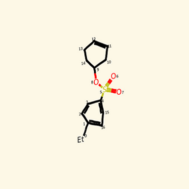 CCc1ccc(S(=O)(=O)OC2CC=CCC2)cc1